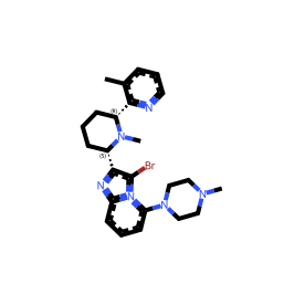 Cc1cccnc1[C@H]1CCC[C@@H](c2nc3cccc(N4CCN(C)CC4)n3c2Br)N1C